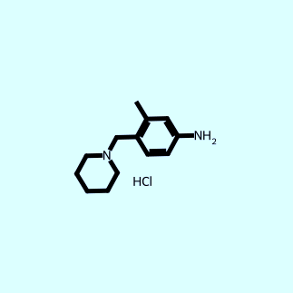 Cc1cc(N)ccc1CN1CCCCC1.Cl